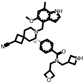 COc1cc(C)c2[nH]ccc2c1CN1CCC2(CC(C#N)C2)C[C@H]1c1ccc(C(=O)N(CC2CNC2)CC2COC2)cc1